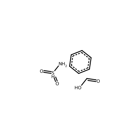 N[SH](=O)=O.O=CO.c1ccccc1